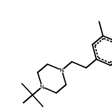 Cc1cccc(CCN2CCN(C(C)(C)C)CC2)c1